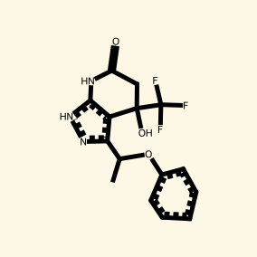 CC(Oc1ccccc1)c1n[nH]c2c1C(O)(C(F)(F)F)CC(=O)N2